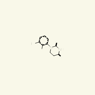 CCc1cccc(N2CCC(=O)NC2=O)c1Cl